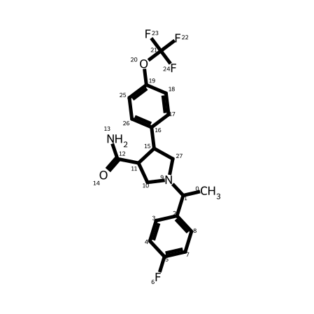 CC(c1ccc(F)cc1)N1CC(C(N)=O)C(c2ccc(OC(F)(F)F)cc2)C1